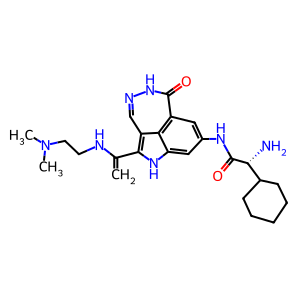 C=C(NCCN(C)C)c1[nH]c2cc(NC(=O)[C@H](N)C3CCCCC3)cc3c2c1C=NNC3=O